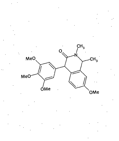 COc1ccc2c(c1)C(C)N(C)C(=O)C2c1cc(OC)c(OC)c(OC)c1